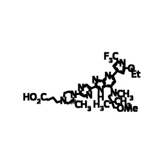 CCOc1cc(-c2cc(N(C)CC(C)(C)COC)c3[nH]c(-c4cnc(N5CCN(CCCC(=O)O)C[C@H]5C)cn4)nc3n2)cc(C(F)(F)F)n1